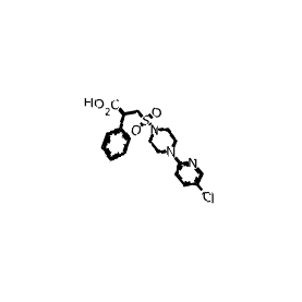 O=C(O)C(CS(=O)(=O)N1CCN(c2ccc(Cl)cn2)CC1)c1ccccc1